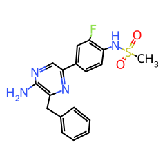 CS(=O)(=O)Nc1ccc(-c2cnc(N)c(Cc3ccccc3)n2)cc1F